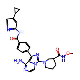 CONC(=O)C1CCCN(c2nc(-c3ccc(C(=O)Nc4cc(C5CC5)ccn4)cc3)c3c(N)nccn23)C1